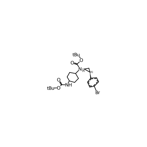 CC(C)(C)OC(=O)NC1CCC(N(C(=O)OC(C)(C)C)[C@@H]2C[C@H]2c2ccc(Br)cc2)CC1